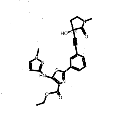 CCOC(=O)c1nc(-c2cccc(C#C[C@]3(O)CCN(C)C3=O)c2)sc1Nc1ccn(C)n1